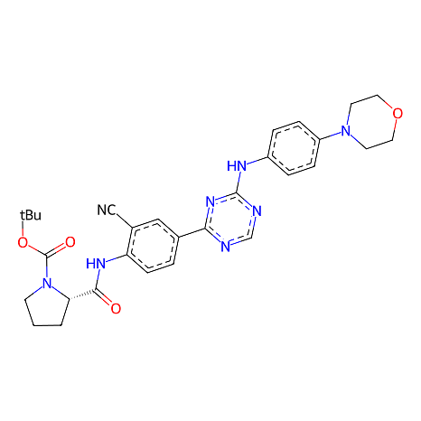 CC(C)(C)OC(=O)N1CCC[C@H]1C(=O)Nc1ccc(-c2ncnc(Nc3ccc(N4CCOCC4)cc3)n2)cc1C#N